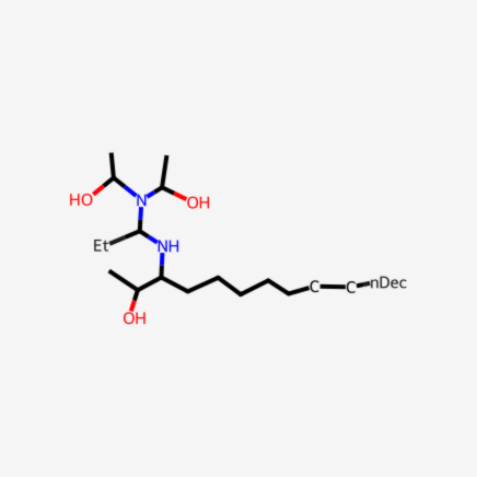 CCCCCCCCCCCCCCCCCC(NC(CC)N(C(C)O)C(C)O)C(C)O